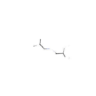 COC(CNC[C@H](C)C(=O)O)OC